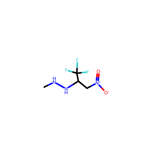 CNNC(C[N+](=O)[O-])C(F)(F)F